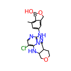 Cc1cc(Nc2ncc(Cl)c(NC3COCCC3C#N)n2)cc2c1B(O)OC2